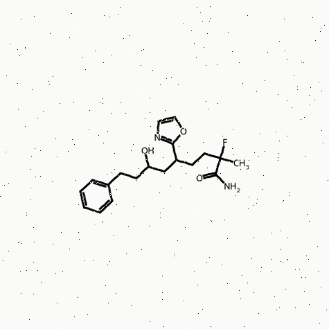 CC(F)(CCC(CC(O)[CH]Cc1ccccc1)c1ncco1)C(N)=O